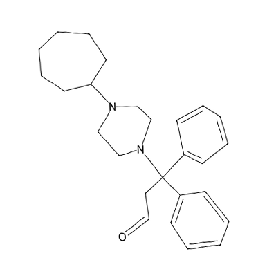 O=CCC(c1ccccc1)(c1ccccc1)N1CCN(C2CCCCCC2)CC1